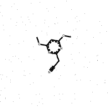 COc1cc(OC)nc(CC#N)n1